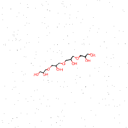 OCC(O)COCC(O)COCC(O)COCC(O)CO